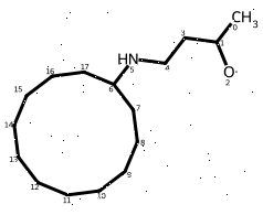 CC([O])CCNC1CCCCCCCCCCC1